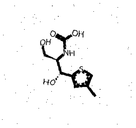 Cc1csc([C@H](O)[C@@H](CO)NC(=O)O)c1